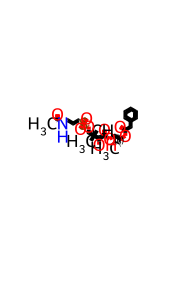 CC[C@H](COC(=O)C(O)C(C)(C)COS(=O)(=O)CCCNC(C)=O)OC(=O)Cc1ccccc1